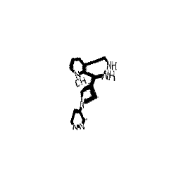 CN1C=CCC2CNNC(C3CN(C4CCN=NC4)C3)C21